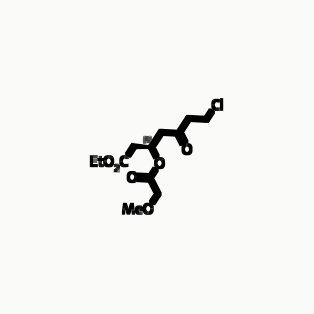 CCOC(=O)C[C@@H](CC(=O)CCCl)OC(=O)COC